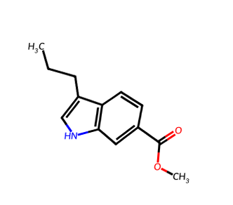 CCCc1c[nH]c2cc(C(=O)OC)ccc12